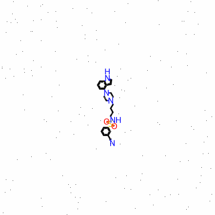 N#Cc1cccc(S(=O)(=O)NCCCCN2CCN(c3cccc4[nH]ccc34)CC2)c1